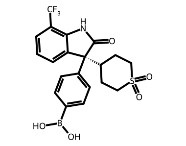 O=C1Nc2c(C(F)(F)F)cccc2[C@@]1(c1ccc(B(O)O)cc1)C1CCS(=O)(=O)CC1